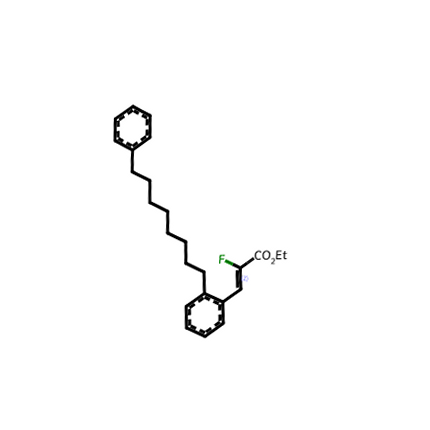 CCOC(=O)/C(F)=C/c1ccccc1CCCCCCCCc1ccccc1